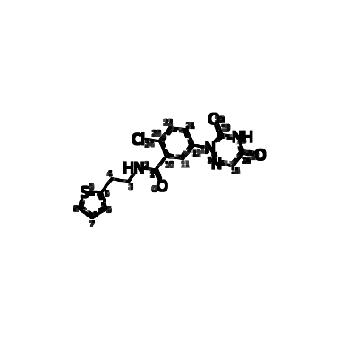 O=C(NCCc1cccs1)c1cc(-n2ncc(=O)[nH]c2=O)ccc1Cl